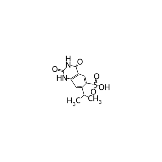 CC(C)c1cc2[nH]c(=O)[nH]c(=O)c2cc1S(=O)(=O)O